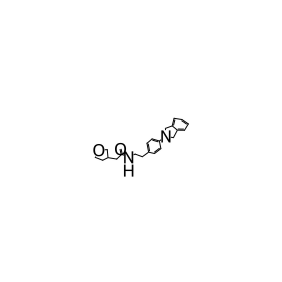 O=C(CC1CCOC1)NCCc1ccc(N2Cc3ccccc3C2)cc1